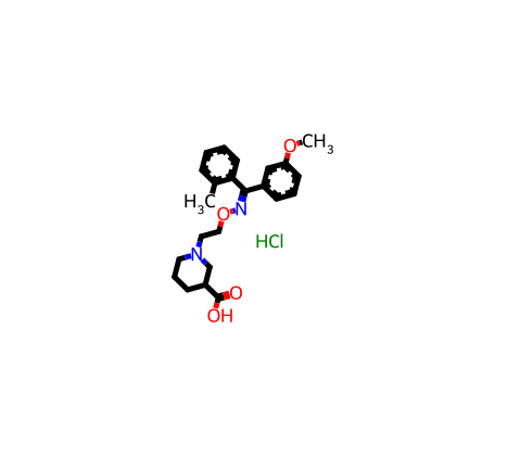 COc1cccc(C(=NOCCN2CCCC(C(=O)O)C2)c2ccccc2C)c1.Cl